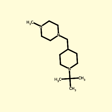 CN1CCN(CC2CCN(C(C)(C)C)CC2)CC1